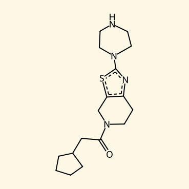 O=C(CC1CCCC1)N1CCc2nc(N3CCNCC3)sc2C1